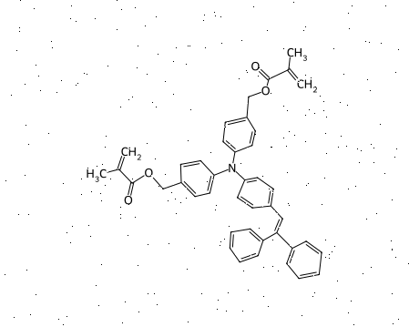 C=C(C)C(=O)OCc1ccc(N(c2ccc(C=C(c3ccccc3)c3ccccc3)cc2)c2ccc(COC(=O)C(=C)C)cc2)cc1